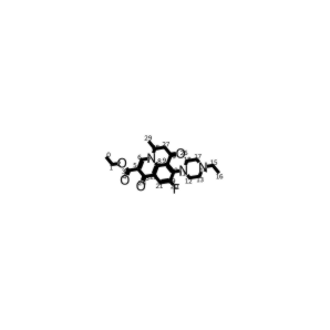 CCOC(=O)c1cn2c3c(c(N4CCN(CC)CC4)c(F)cc3c1=O)C(=O)CC2C